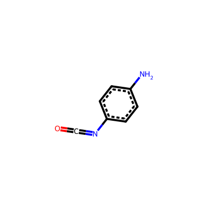 Nc1ccc(N=C=O)cc1